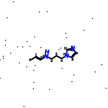 CC=CNCCCn1ccnc1